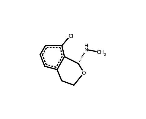 CN[C@@H]1OCCc2cccc(Cl)c21